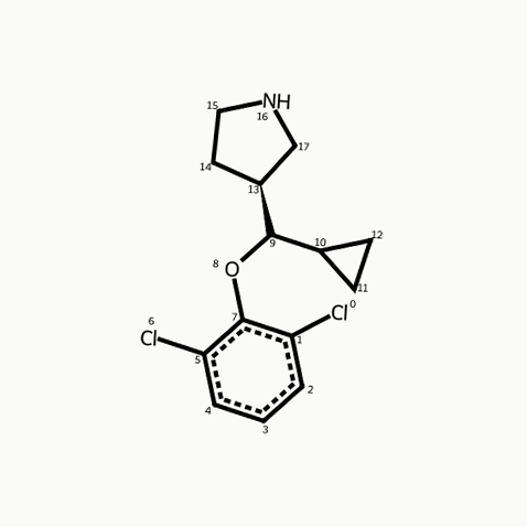 Clc1cccc(Cl)c1OC(C1CC1)[C@H]1CCNC1